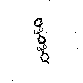 CC1CCC(C(=O)Oc2ccc(C(=O)Oc3ccccc3)cc2)CC1